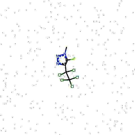 Cn1nnc(C(Cl)(Cl)C(Cl)(Cl)Cl)c1F